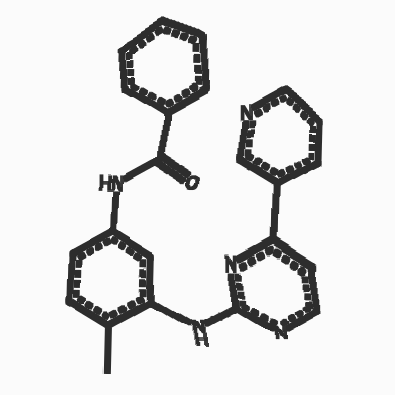 Cc1ccc(NC(=O)c2ccccc2)cc1Nc1nccc(-c2cccnc2)n1